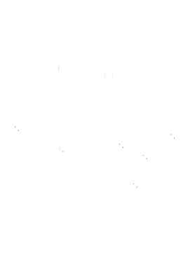 Cl.Nc1cc(OC(F)(F)F)ccc1C(=O)N1CCC(c2ccnc3[nH]c([C@@H]4OCC[C@@H]4N)nc23)CC1